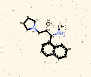 [CH2-][NH2+][C@@H](c1cccc2ccccc12)[C@@H](C)CN1CCCC1